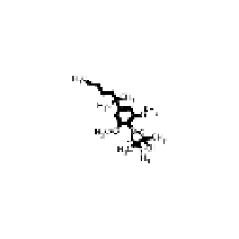 CCCCCC(C)(C)c1cc(OC)c(B2OC(C)(C)C(C)(C)O2)c(OC)c1